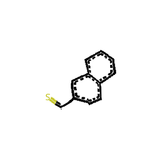 S=[C]c1ccc2ccccc2c1